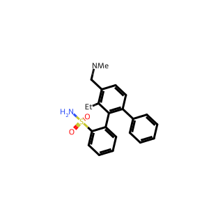 CCc1c(CNC)ccc(-c2ccccc2)c1-c1ccccc1S(N)(=O)=O